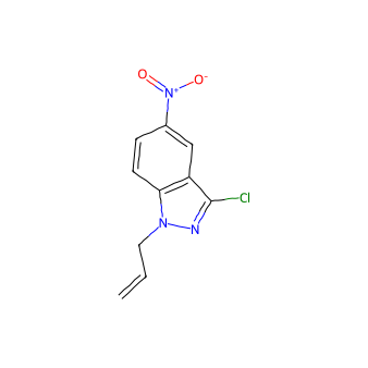 C=CCn1nc(Cl)c2cc([N+](=O)[O-])ccc21